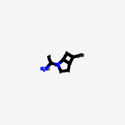 CC(C)C1CC2C1CCN2C(C)N